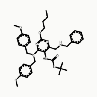 CCCCOc1nc(CNCc2ccccc2)c(NC(=O)OC(C)(C)C)c(N(Cc2ccc(OC)cc2)Cc2ccc(OC)cc2)n1